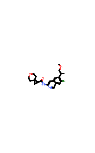 COC[C@@H](C)c1cc2cc(NC(=O)C3CC34CCOCC4)ncc2cc1Cl